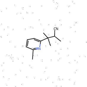 Cc1cccc(C(C)(C)C(C)C#N)n1